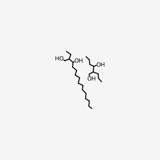 CCCC(O)C(CO)CCC.CCCCCCCCCCCCC(O)C(CC)CO